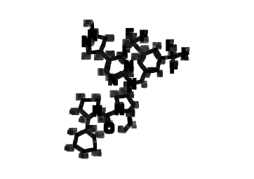 CC[C@@H]1C[C@H](N(Cc2cc(C(F)(F)F)cc(C(F)(F)F)c2)c2ncc(C3C=NN(C)C3)cn2)CN1C(=O)N1CCCC1C1CCCCC1